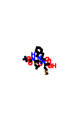 CSCC[C@@H](NC(=O)C1Cc2ccccc2CN1C(=O)[C@H](CC(C)C)NC(=O)OC(C)(C)C)C(=O)O